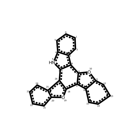 c1ccc2c(c1)[nH]c1c2c2oc3ccccc3c2c2oc3ccccc3c12